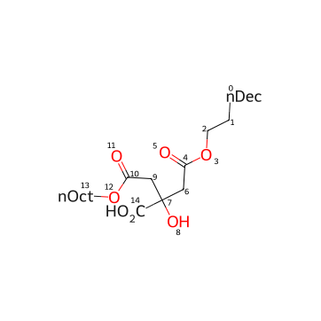 CCCCCCCCCCCCOC(=O)CC(O)(CC(=O)OCCCCCCCC)C(=O)O